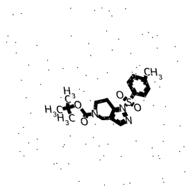 Cc1ccc(S(=O)(=O)n2ncc3c2CCN(C(=O)OC(C)(C)C)C3)cc1